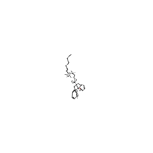 CCCCCCN1C(C)(C)CC(OC(=O)C(Cc2ccccc2)(Cc2ccccc2)C(=O)OCC)CC1(C)C